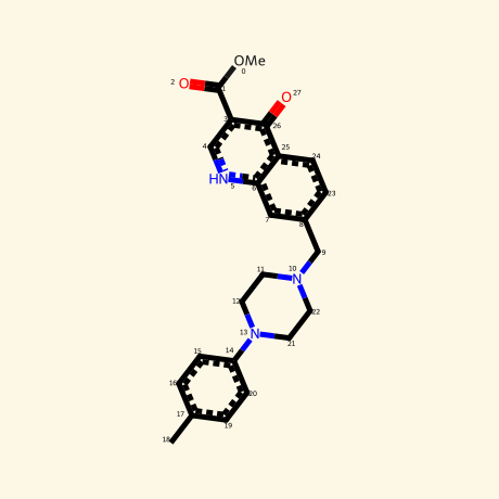 COC(=O)c1c[nH]c2cc(CN3CCN(c4ccc(C)cc4)CC3)ccc2c1=O